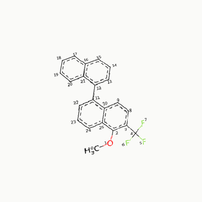 COc1c(C(F)(F)F)ccc2c(-c3cccc4ccccc34)cccc12